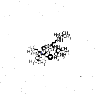 CC(C)C[C@@H](/C=C/[C@@H](Cc1ccccc1)C(=O)N1CCC[C@H]1C(=O)NC(CCCNC(=O)OC(C)(C)C)C(=O)NC1CC(C)(C)N(O)C(C)(C)C1)NC(=O)OC(C)(C)C